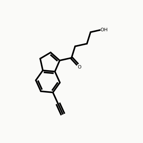 C#Cc1ccc2c(c1)C(C(=O)CCCO)=CC2